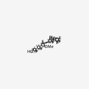 COc1cc(-c2ccc(-c3ccc(O)cc3F)cc2F)cc(F)c1C#Cc1cc(F)c(C(F)(F)Oc2cc(F)c(F)c(F)c2)c(F)c1